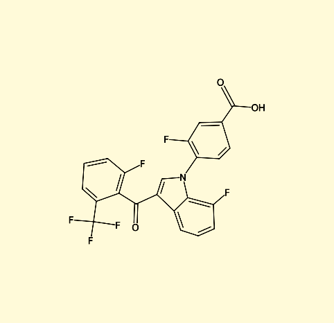 O=C(O)c1ccc(-n2cc(C(=O)c3c(F)cccc3C(F)(F)F)c3cccc(F)c32)c(F)c1